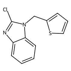 Clc1nc2ccccc2n1Cc1cccs1